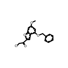 COc1cc(OCc2ccccc2)c2cc(C(=O)CCl)oc2c1